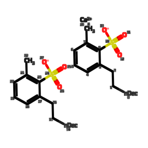 CCCCCCCCCCCCc1cccc(C)c1S(=O)(=O)[O-].CCCCCCCCCCCCc1cccc(C)c1S(=O)(=O)[O-].[Ca+2]